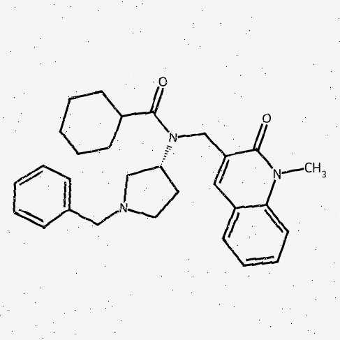 Cn1c(=O)c(CN(C(=O)C2CCCCC2)[C@@H]2CCN(Cc3ccccc3)C2)cc2ccccc21